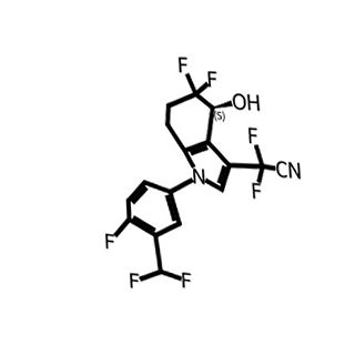 N#CC(F)(F)c1cn(-c2ccc(F)c(C(F)F)c2)c2c1[C@H](O)C(F)(F)CC2